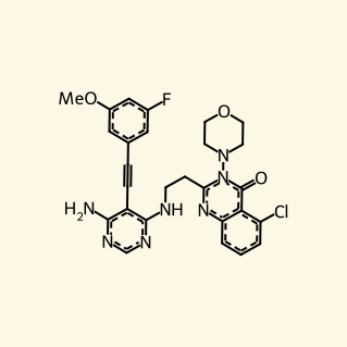 COc1cc(F)cc(C#Cc2c(N)ncnc2NCCc2nc3cccc(Cl)c3c(=O)n2N2CCOCC2)c1